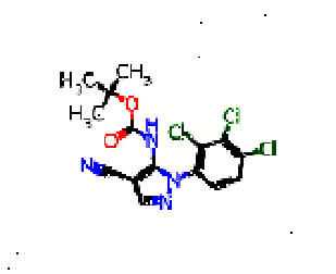 CC(C)(C)OC(=O)Nc1c(C#N)cnn1-c1ccc(Cl)c(Cl)c1Cl